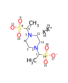 CC(N1CCN(C(C)S(=O)(=O)[O-])CC1)S(=O)(=O)[O-].[K+].[K+]